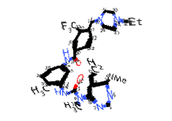 C=Cc1c(NC)ncnc1N(C)C(=O)Nc1cc(NC(=O)c2ccc(CN3CCN(CC)CC3)c(C(F)(F)F)c2)ccc1C